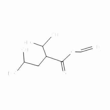 C=COC(=O)C(CC(C)C)C(C)C